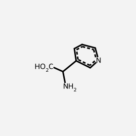 NC(C(=O)O)c1cccnc1